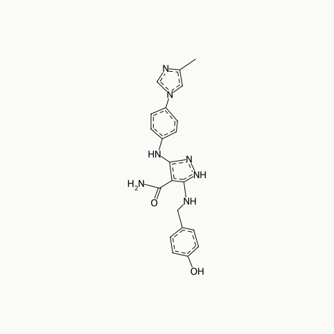 Cc1cn(-c2ccc(Nc3n[nH]c(NCc4ccc(O)cc4)c3C(N)=O)cc2)cn1